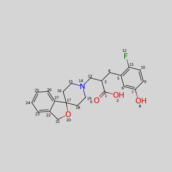 O=C(O)C(Cc1cc(O)ccc1F)CN1CCC2(CC1)OCc1ccccc12